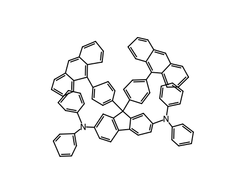 c1ccc(N(c2ccccc2)c2ccc3c(c2)C(c2ccc(-c4c5ccccc5cc5ccccc45)cc2)(c2ccc(-c4c5ccccc5cc5ccccc45)cc2)c2cc(N(c4ccccc4)c4ccccc4)ccc2-3)cc1